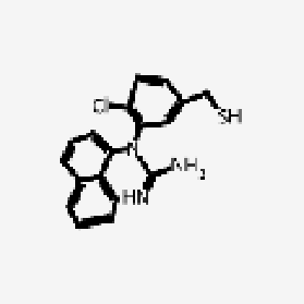 N=C(N)N(c1cc(CS)ccc1Cl)c1cccc2ccccc12